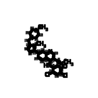 COc1cc(Nc2c(C#N)cnc3cc(-c4ccc(CN5CCN(C)CC5)n4C)ccc23)c(Cl)cc1Cl